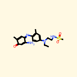 CCN(CCNS(C)(=O)=O)c1ccc(N=C2C=C(C)C(=O)C=C2N)c(C)c1